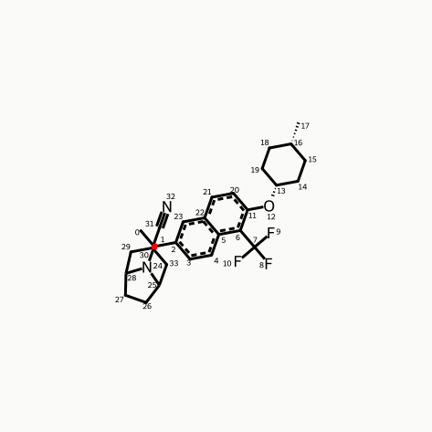 CC(c1ccc2c(C(F)(F)F)c(O[C@H]3CC[C@@H](C)CC3)ccc2c1)N1C2CCC1CC(C#N)C2